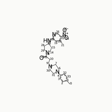 Cc1ccc(N2CCN(CCC(=O)N3CCC(Nc4cc(C)c([N+](=O)[O-])cn4)CC3)CC2)cc1